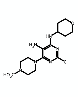 Nc1c(NC2CCOCC2)nc(Cl)nc1N1CCN(C(=O)O)CC1